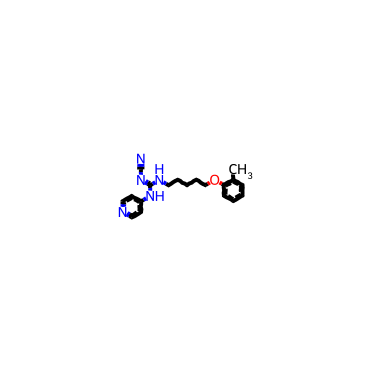 Cc1ccccc1OCCCCCN/C(=N\C#N)Nc1ccncc1